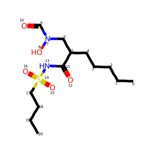 CCCCCC(CN(O)C=O)C(=O)NS(=O)(=O)CCCC